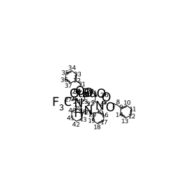 CC(C)(C)C(=O)CN(C(=O)OCc1ccccc1)c1ccccc1N(C[C@@H](NC(=O)C(F)(F)F)C(=O)OCc1ccccc1)C1CCCCC1